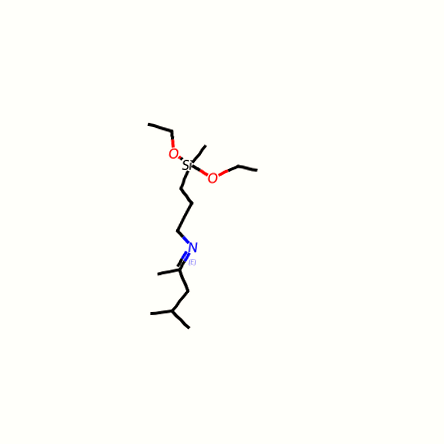 CCO[Si](C)(CCC/N=C(\C)CC(C)C)OCC